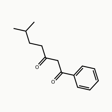 CC(C)CCC(=O)CC(=O)c1ccccc1